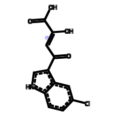 O=C(O)/C(O)=C/C(=O)c1c[nH]c2ccc(Cl)cc12